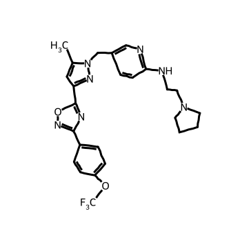 Cc1cc(-c2nc(-c3ccc(OC(F)(F)F)cc3)no2)nn1Cc1ccc(NCCN2CCCC2)nc1